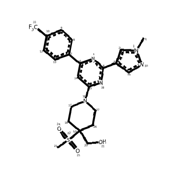 Cn1cc(-c2nc(-c3ccc(C(F)(F)F)cc3)cc(N3CCC(CO)(S(C)(=O)=O)CC3)n2)cn1